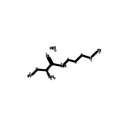 CCOCCCNC(=O)[C@@H](N)CC(C)C.Cl